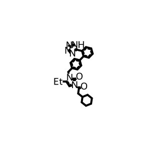 CCc1cn(C(=O)CC2CCCCC2)c(=O)n1Cc1ccc(-c2ccccc2-c2nnn[nH]2)cc1